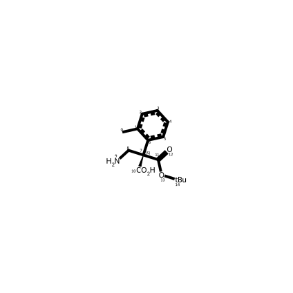 Cc1ccccc1[C@](CN)(C(=O)O)C(=O)OC(C)(C)C